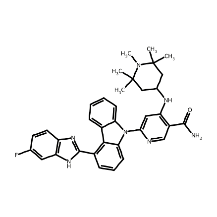 CN1C(C)(C)CC(Nc2cc(-n3c4ccccc4c4c(-c5nc6ccc(F)cc6[nH]5)cccc43)ncc2C(N)=O)CC1(C)C